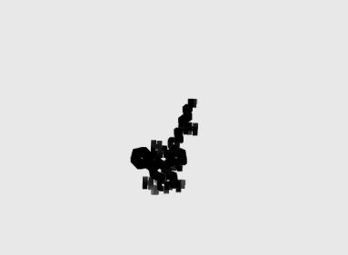 C[C@@H]1Cc2c([nH]c3ccccc23)C(c2nccc(OCCNCCCF)c2F)N1CC(F)F